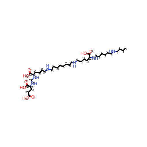 CCCCNCCCCCCNC(CCCCNCCCCCCCCNCCCCC(NCNC(CCC(=O)O)C(=O)O)C(=O)O)C(=O)O